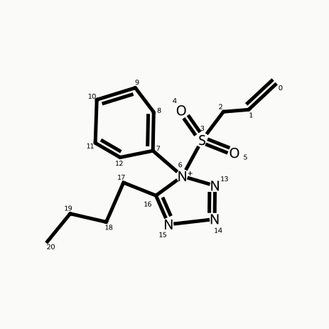 C=CCS(=O)(=O)[N+]1(c2ccccc2)N=NN=C1CCCC